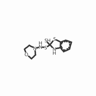 SC1(SNN2CCOCC2)Nc2ccccc2S1